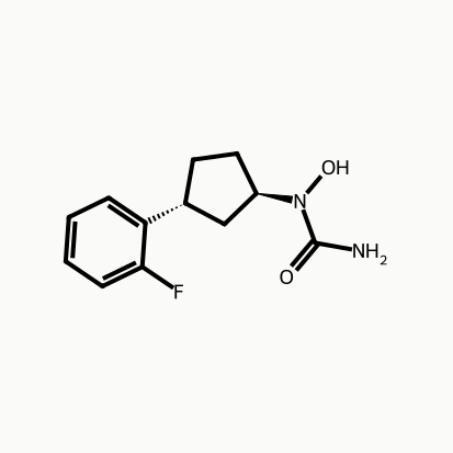 NC(=O)N(O)[C@@H]1CC[C@@H](c2ccccc2F)C1